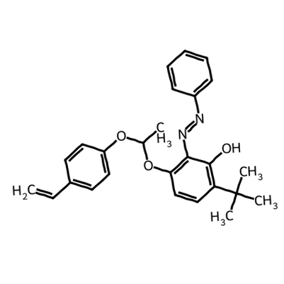 C=Cc1ccc(OC(C)Oc2ccc(C(C)(C)C)c(O)c2N=Nc2ccccc2)cc1